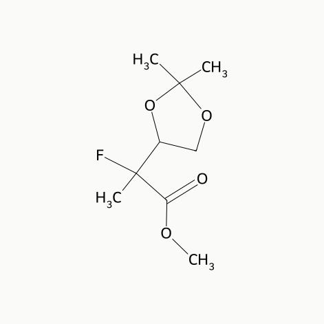 COC(=O)C(C)(F)C1COC(C)(C)O1